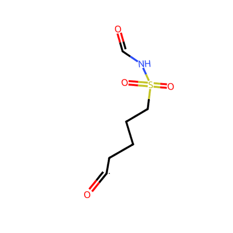 O=[C]CCCCS(=O)(=O)NC=O